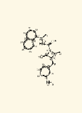 C[C@@H](NC(=O)N1C(=O)[C@H](Cc2ccnc(N)c2)[C@@H]1C)c1cccc2ccccc12